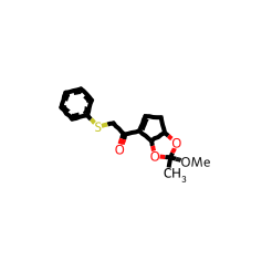 COC1(C)OC2CC=C(C(=O)CSc3ccccc3)C2O1